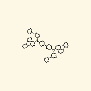 c1ccc(-c2cccc(N(c3ccc(-c4ccc(N(c5cccc(-c6ccccc6)c5)c5ccc6c7c(cccc57)-c5ccccc5-6)cc4)cc3)c3ccc4c5c(cccc35)-c3ccccc3-4)c2)cc1